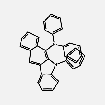 c1ccc(N(c2ccccc2)c2c3ccccc3cc3c4ccccc4n(-c4ccccc4)c23)cc1